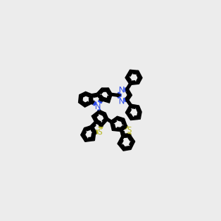 c1ccc(-c2cc(-c3ccccc3)nc(-c3ccc4c5ccccc5n(-c5cc(-c6ccc7sc8ccccc8c7c6)c6sc7ccccc7c6c5)c4c3)n2)cc1